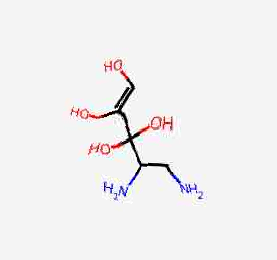 NCC(N)C(O)(O)C(O)=CO